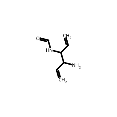 C=CC(N)C(C=C)N[C]=O